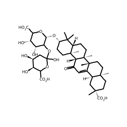 CC1(C)[C@@H](O[C@H]2OC(C(=O)O)[C@@H](O)[C@@H](O)C2OC2(O)C[C@H](O)[C@H](O)C(C(=O)O)O2)CC[C@]2(C)[C@H]3C(=O)C=C4[C@@H]5C[C@@](C)(C(=O)O)CC[C@]5(C)CC[C@@]4(C)[C@]3(C)CC[C@@H]12